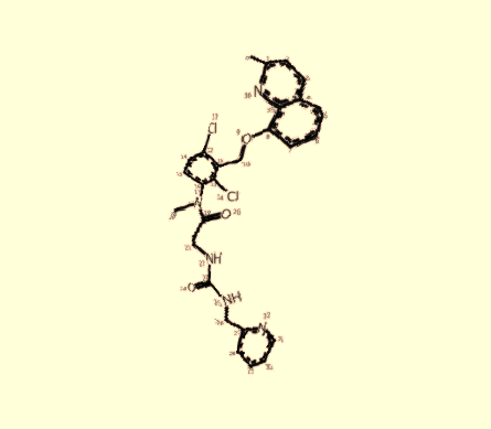 Cc1ccc2cccc(OCc3c(Cl)ccc(N(C)C(=O)CNC(=O)NCc4ccccn4)c3Cl)c2n1